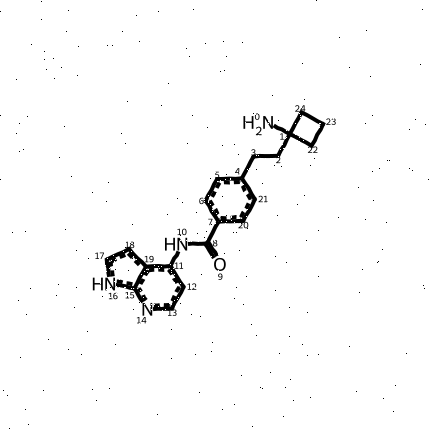 NC1(CCc2ccc(C(=O)Nc3ccnc4[nH]ccc34)cc2)CCC1